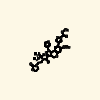 BC(B)(B)N(CCN1CCOC1=O)C(=O)c1nn(-c2ccsc2)c2c1COc1cc(OC)c(-c3cnn(C(=O)OC(C)(C)C)c3)cc1-2